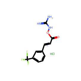 Cl.N=C(N)NOC(=O)/C=C/c1cccc(C(F)(F)F)c1